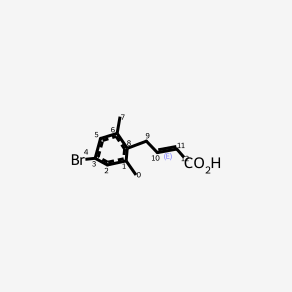 Cc1cc(Br)cc(C)c1C/C=C/C(=O)O